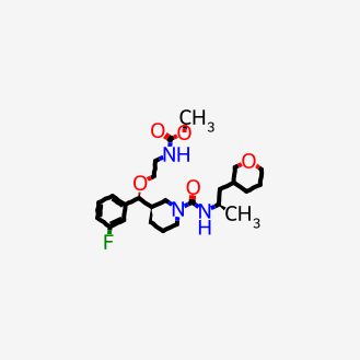 COC(=O)NCCO[C@@H](c1cccc(F)c1)[C@@H]1CCCN(C(=O)N[C@H](C)CC2CCCOC2)C1